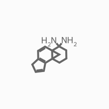 NC1(N)CCCC23CC12C=CC1=C3C=CC1